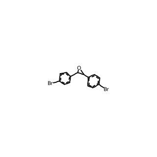 Brc1ccc(C2OC2c2ccc(Br)cc2)cc1